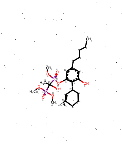 CCCCCc1cc(O)c(C2C=C(C)CCC2)c(OP(=O)(OC)C(C)(O)P(=O)(OC)OC)c1